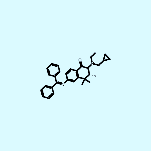 CCN(CC1CC1)C1C(=O)c2ccc(N=C(c3ccccc3)c3ccccc3)cc2C(C)(C)[C@H]1C